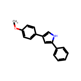 COc1ccc(-c2c[nH]c(-c3ccccc3)c2)cc1